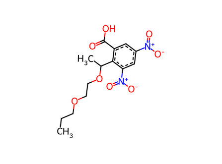 CCCOCCOC(C)c1c(C(=O)O)cc([N+](=O)[O-])cc1[N+](=O)[O-]